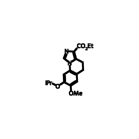 CCOC(=O)c1ncn2c1CCc1cc(OC)c(OC(C)C)cc1-2